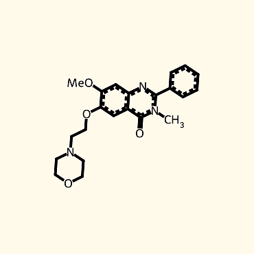 COc1cc2nc(-c3ccccc3)n(C)c(=O)c2cc1OCCN1CCOCC1